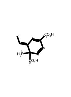 CC=C1C=C(C(=O)O)C=CC1(P)C(=O)O